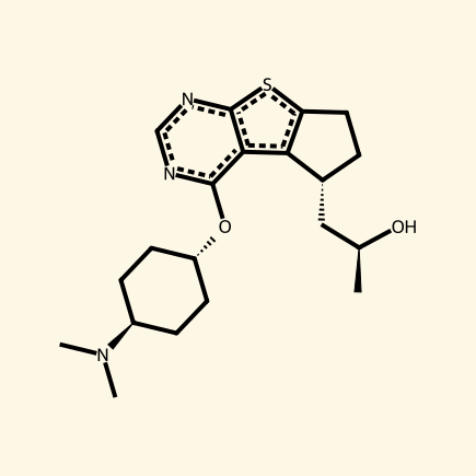 C[C@H](O)C[C@H]1CCc2sc3ncnc(O[C@H]4CC[C@H](N(C)C)CC4)c3c21